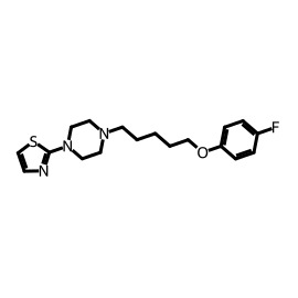 Fc1ccc(OCCCCCN2CCN(c3nccs3)CC2)cc1